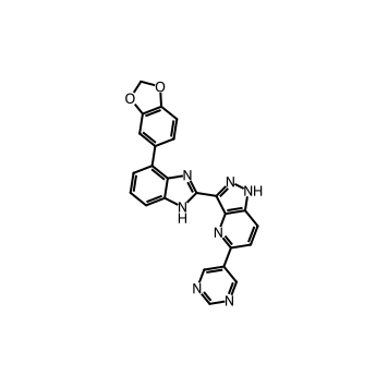 c1cc(-c2ccc3c(c2)OCO3)c2nc(-c3n[nH]c4ccc(-c5cncnc5)nc34)[nH]c2c1